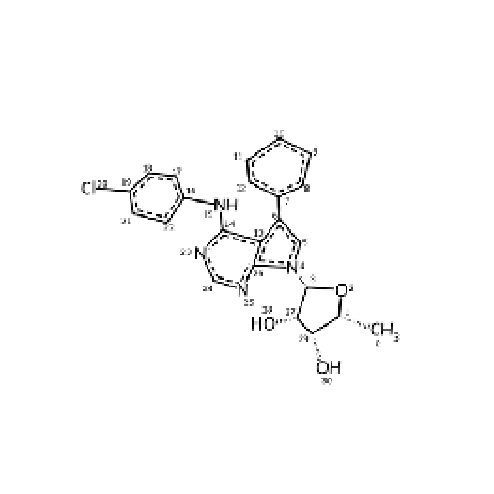 C[C@H]1O[C@@H](n2cc(-c3ccccc3)c3c(Nc4ccc(Cl)cc4)ncnc32)[C@@H](O)[C@H]1O